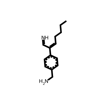 CCCC/C=C(\C=N)c1ccc(CN)cc1